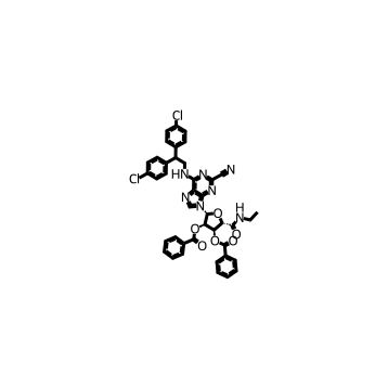 CCNC(=O)[C@H]1O[C@@H](n2cnc3c(NCC(c4ccc(Cl)cc4)c4ccc(Cl)cc4)nc(C#N)nc32)[C@H](OC(=O)c2ccccc2)[C@@H]1OC(=O)c1ccccc1